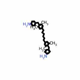 Cc1cc(CCCCCCc2cc(C)c(Cc3ccc(N)cc3)c(C)c2)cc(C)c1Cc1ccc(N)cc1